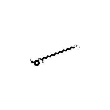 CCCCCCCCCCCCCCCCCC(=O)Nc1cccc(C=O)c1